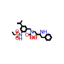 C=C(C)c1cc(CN(C[C@@H](O)[C@@H](N)Cc2ccccc2)C(=O)O)cc(NS(=O)(=O)CC)c1